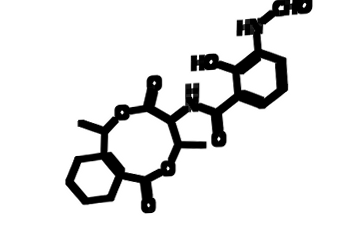 CC1OC(=O)C(NC(=O)c2cccc(NC=O)c2O)C(C)OC(=O)C2=C1CCCC2